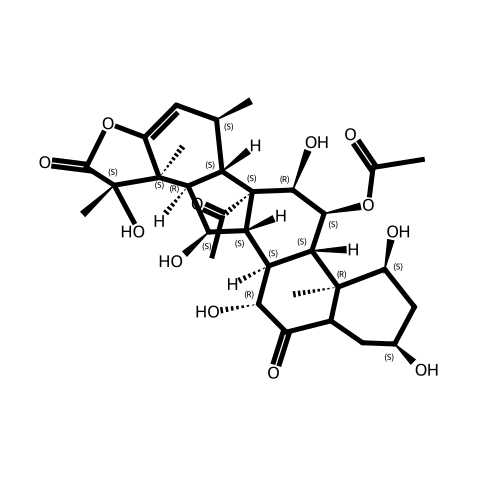 CC(=O)O[C@H]1[C@H]2[C@H]([C@@H]3[C@@H](O)[C@@H]4[C@H]([C@H](C)C=C5OC(=O)[C@@](C)(O)[C@@]54C)[C@@]3(C(C)=O)[C@H]1O)[C@@H](O)C(=O)C1C[C@H](O)C[C@H](O)[C@@]12C